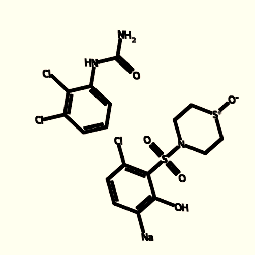 NC(=O)Nc1cccc(Cl)c1Cl.O=S(=O)(c1c(Cl)cc[c]([Na])c1O)N1CC[S+]([O-])CC1